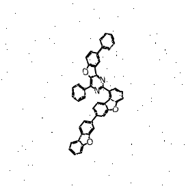 c1ccc(-c2ccc3oc4c(-c5ccccc5)nc(-c5cccc6oc7cc(-c8ccc9c(c8)oc8ccccc89)ccc7c56)nc4c3c2)cc1